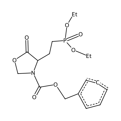 CCOP(=O)(CCC1C(=O)OCN1C(=O)OCc1ccccc1)OCC